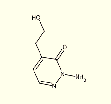 Nn1nccc(CCO)c1=O